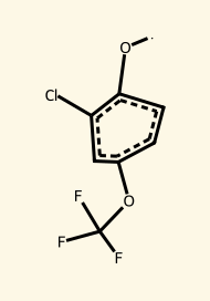 [CH2]Oc1ccc(OC(F)(F)F)cc1Cl